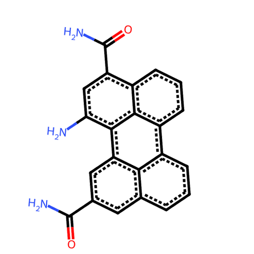 NC(=O)c1cc2cccc3c4cccc5c(C(N)=O)cc(N)c(c(c1)c23)c54